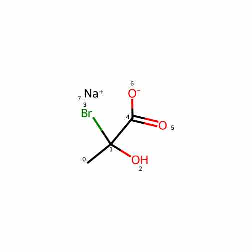 CC(O)(Br)C(=O)[O-].[Na+]